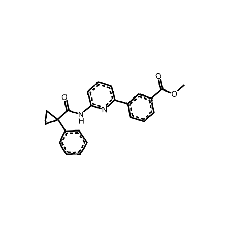 COC(=O)c1cccc(-c2cccc(NC(=O)C3(c4ccccc4)CC3)n2)c1